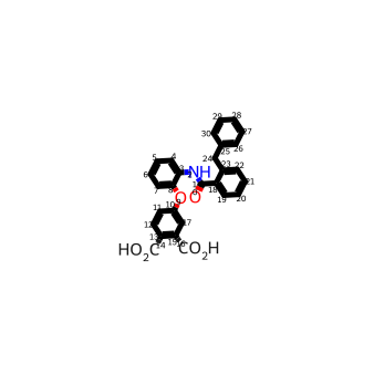 O=C(Nc1ccccc1Oc1ccc(C(=O)O)c(C(=O)O)c1)c1ccccc1Cc1ccccc1